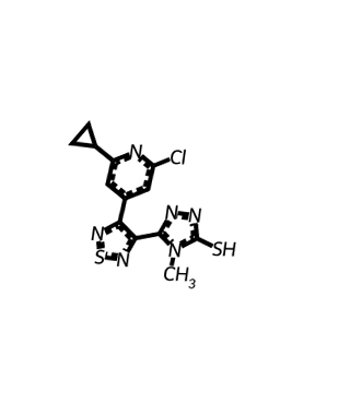 Cn1c(S)nnc1-c1nsnc1-c1cc(Cl)nc(C2CC2)c1